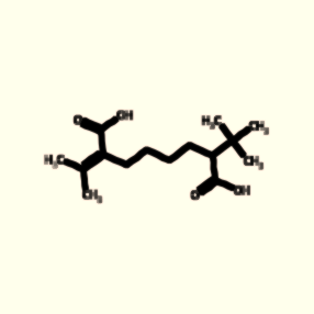 CC(C)=C(CCCCC(C(=O)O)C(C)(C)C)C(=O)O